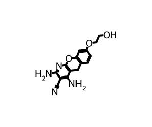 N#Cc1c(N)nc2c(c1N)Cc1ccc(OCCO)cc1O2